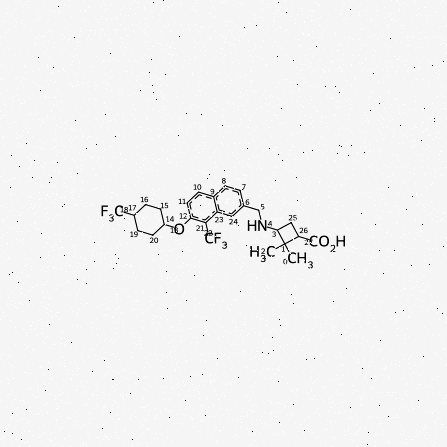 CC1(C)C(NCc2ccc3ccc(OC4CCC(C(F)(F)F)CC4)c(C(F)(F)F)c3c2)CC1C(=O)O